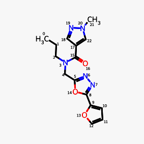 CCCN(Cc1nnc(-c2ccco2)o1)C(=O)c1cnn(C)c1